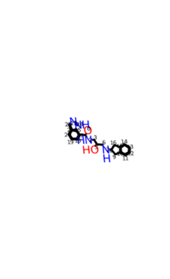 O=C(NCC(O)CNC1Cc2ccccc2C1)c1cccc2cn[nH]c12